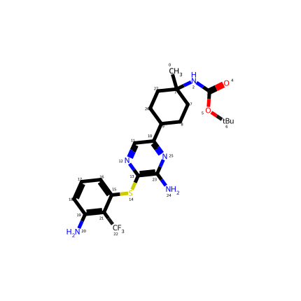 CC1(NC(=O)OC(C)(C)C)CCC(c2cnc(Sc3cccc(N)c3C(F)(F)F)c(N)n2)CC1